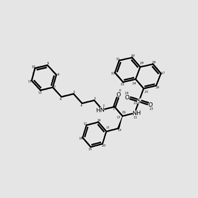 O=C(NCCCCc1ccccc1)[C@H](Cc1cc[c]cc1)NS(=O)(=O)c1cccc2ccccc12